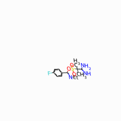 CC/N=C(\OS(=O)(=O)C(C)(C)C(=N)N)c1ccc(F)cc1